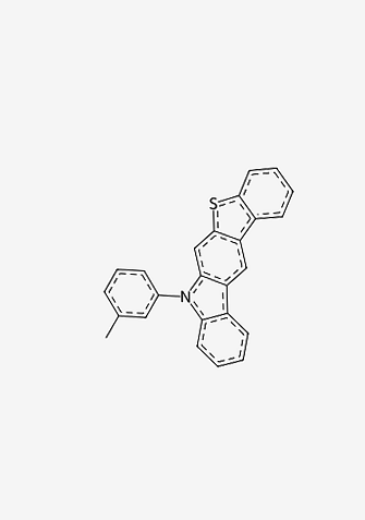 Cc1cccc(-n2c3ccccc3c3cc4c(cc32)sc2ccccc24)c1